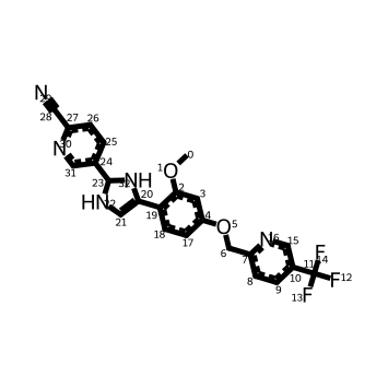 COc1cc(OCc2ccc(C(F)(F)F)cn2)ccc1C1=CNC(c2ccc(C#N)nc2)N1